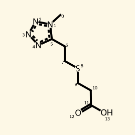 Cn1nnnc1CCSCCC(=O)O